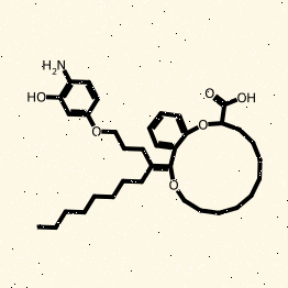 CCCCCCCCC(CCCOc1ccc(N)c(O)c1)=C1OCCCCCCCCCC(C(=O)O)Oc2ccccc21